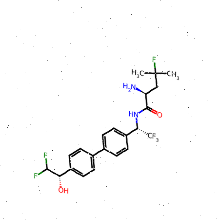 CC(C)(F)C[C@H](N)C(=O)N[C@@H](c1ccc(-c2ccc([C@H](O)C(F)F)cc2)cc1)C(F)(F)F